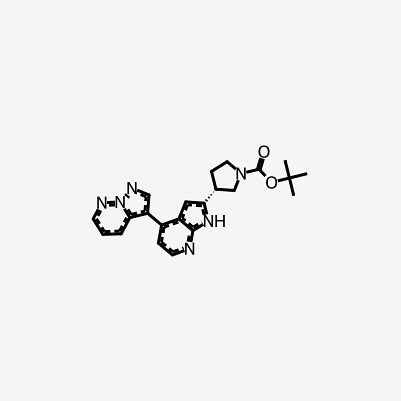 CC(C)(C)OC(=O)N1CC[C@@H](c2cc3c(-c4cnn5ncccc45)ccnc3[nH]2)C1